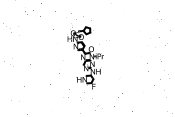 CC(C)n1c(=O)c(-c2ccc(NS(=O)(=O)CC3CCCC3)nc2)nc2cnc(N[C@@H]3CNC[C@@H](F)C3)nc21